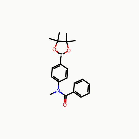 CN(C(=O)c1ccccc1)c1ccc(B2OC(C)(C)C(C)(C)O2)cc1